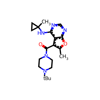 Cc1oc2ncnc(NC3(C)CC3)c2c1C(=O)N1CCN(C(C)(C)C)CC1